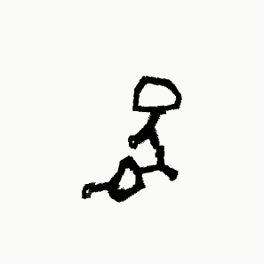 CC(SC(=O)N1CCCCCC1)c1ccc(Cl)cc1